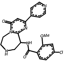 COc1cc(Cl)ccc1C(=O)NC1CNCCn2c1nc(-c1ccncc1)cc2=O